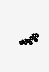 CC1=C(c2ccc(-c3cc4c(c5ccccc35)-c3ccc5c(c3C4(C)C)C(C)(C)c3ccccc3-5)cc2)N(c2ccccc2)C2C=CC=CC2C1